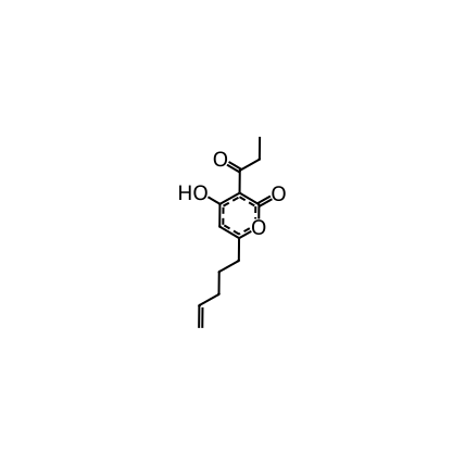 C=CCCCc1cc(O)c(C(=O)CC)c(=O)o1